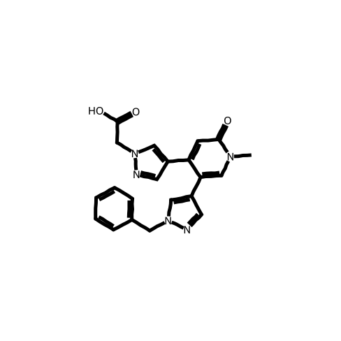 Cn1cc(-c2cnn(Cc3ccccc3)c2)c(-c2cnn(CC(=O)O)c2)cc1=O